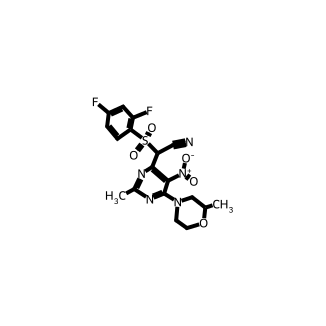 Cc1nc(C(C#N)S(=O)(=O)c2ccc(F)cc2F)c([N+](=O)[O-])c(N2CCOC(C)C2)n1